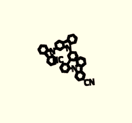 N#Cc1ccc2c(c1)c1ccccc1n2-c1cccc(C#N)c1-c1cccc(-n2c3ccccc3c3ccc(-n4c5ccccc5c5ccccc54)cc32)c1